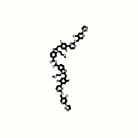 COCCn1c(Cc2cc(F)c(-c3ccnc(OCc4cnc(-n5ccnn5)cc4Cl)n3)cc2F)nc2ccc(C(=O)OC(=O)c3ccc4nc(Cc5cc(F)c(-c6ccnc(OCc7cnc(-n8ccnn8)cc7Cl)n6)cc5F)n(CCOC)c4c3)cc21